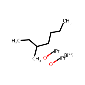 CC(C)[O-].CC(C)[O-].CCCCC(C)CC.[Bi+2]